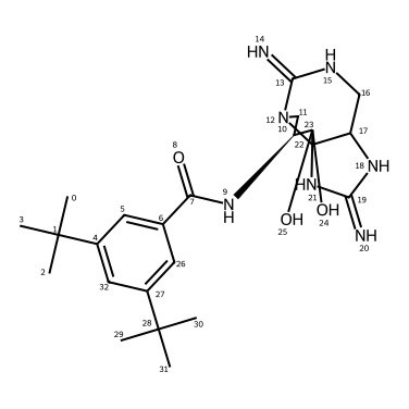 CC(C)(C)c1cc(C(=O)N[C@H]2CN3C(=N)NCC4NC(=N)NC43C2(O)O)cc(C(C)(C)C)c1